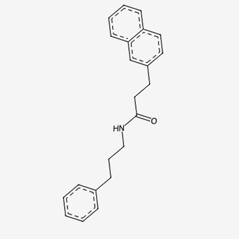 O=C(CCc1ccc2ccccc2c1)NCCCc1ccccc1